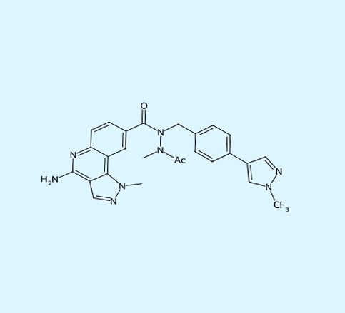 CC(=O)N(C)N(Cc1ccc(-c2cnn(C(F)(F)F)c2)cc1)C(=O)c1ccc2nc(N)c3cnn(C)c3c2c1